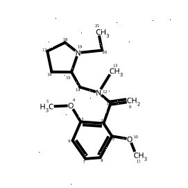 C=C(c1c(OC)cccc1OC)N(C)CC1CCCN1CC